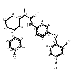 C[C@@H](C(=O)Nc1ccc(Oc2ncc(F)cc2F)cn1)[C@H]1CCC[C@@H](c2cc[n+]([O-])cc2)C1